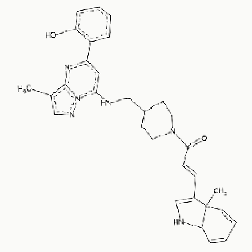 Cc1cnn2c(NCC3CCN(C(=O)/C=C/C4=CNC5C=CC=CC45C)CC3)cc(-c3ccccc3O)nc12